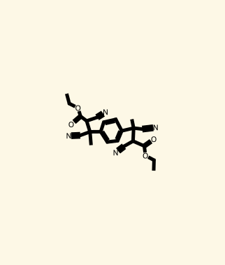 CCOC(=O)C(C#N)C(C)(C#N)c1ccc(C(C)(C#N)C(C#N)C(=O)OCC)cc1